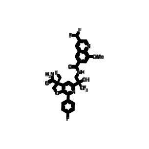 COc1cc(C(=O)NC[C@](O)(c2cc3c(c(-c4ccc(F)cc4)n2)OC[C@]3(CF)C(N)=O)C(F)(F)F)cc2cc(C(F)F)cnc12